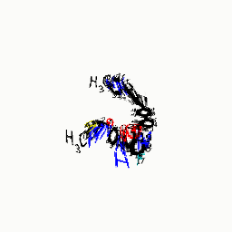 Cc1nc(C(=O)NC2CCC(NC(=O)c3cc(F)cnc3Oc3cccc(-c4ccc(CCCN5CCCN(C)CC5)cc4)c3)CC2)cs1